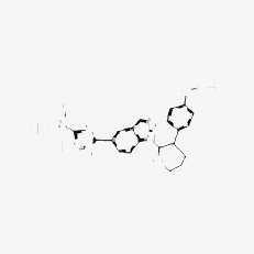 COc1ccc(C2CCCOC2n2ncc3cc(-c4n[nH]c(N(C)C)n4)ccc32)cc1